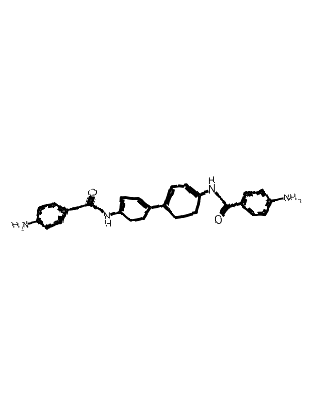 Nc1ccc(C(=O)NC2=CC=C(C3=CC=C(NC(=O)c4ccc(N)cc4)CC3)CC2)cc1